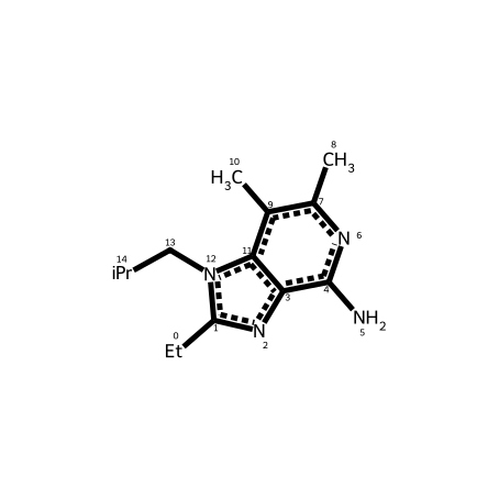 CCc1nc2c(N)nc(C)c(C)c2n1CC(C)C